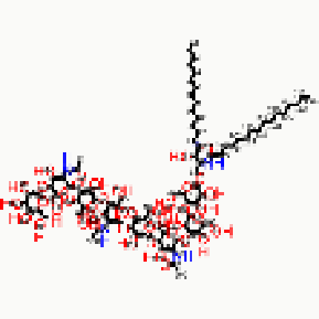 CCCCCCCCCCCCC/C=C/[C@@H](O)[C@H](CO[C@@H]1OC(CO)[C@@H](O[C@@H]2OC(CO)[C@H](O)[C@H](O[C@@H]3OC(CO)[C@@H](O[C@@H]4OC(CO)[C@H](O)[C@H](O[C@@H]5OC(CO)[C@@H](O[C@@H]6OC(CO)[C@H](O)[C@H](O[C@@H]7OC(CO)[C@@H](O[C@@H]8OC(CO)[C@H](O)[C@H](O)C8O)[C@H](O)C7NC(C)=O)C6O)[C@H](O)C5NC(C)=O)C4O)[C@H](O)C3NC(C)=O)C2O)[C@H](O)C1O)NC(=O)CCCCCCCCCCCCCCC